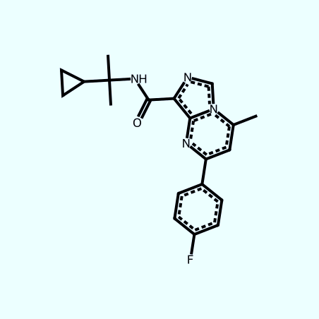 Cc1cc(-c2ccc(F)cc2)nc2c(C(=O)NC(C)(C)C3CC3)ncn12